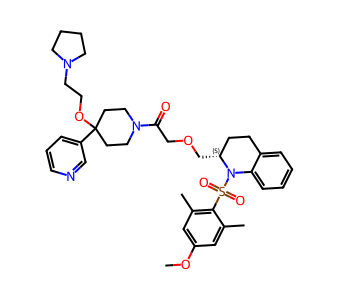 COc1cc(C)c(S(=O)(=O)N2c3ccccc3CC[C@H]2COCC(=O)N2CCC(OCCN3CCCC3)(c3cccnc3)CC2)c(C)c1